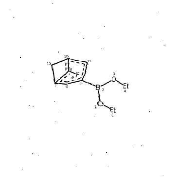 CCOB(OCC)c1cc2c(F)c(c1)C2